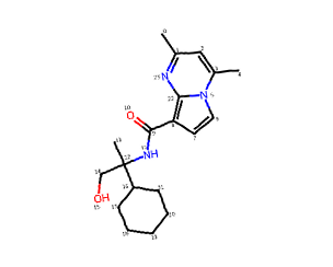 Cc1cc(C)n2ccc(C(=O)NC(C)(CO)C3CCCCC3)c2n1